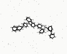 c1ccc(-c2cccc(N3Cc4ccc(-c5ccc6c(c5)c5ccccc5n6-c5ccc(-c6ccc7ccccc7c6)cc5)cc4-c4ccccc43)c2)cc1